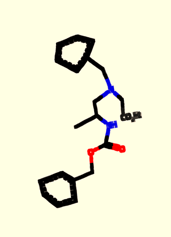 CCOC(=O)CN(Cc1ccccc1)CC(C)NC(=O)OCc1ccccc1